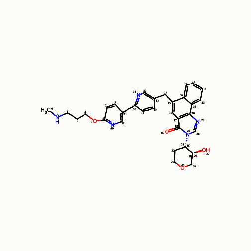 CNCCCOc1ccc(-c2ccc(Cc3cc4c(=O)n([C@H]5CCOC[C@@H]5O)cnc4c4ccccc34)cn2)cn1